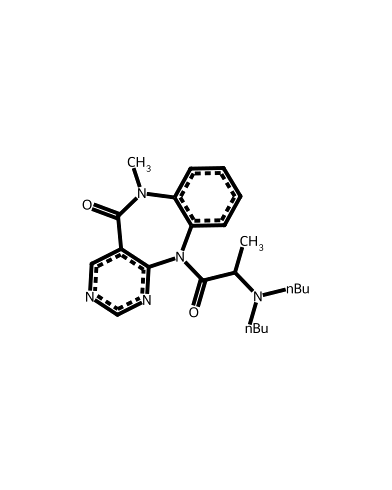 CCCCN(CCCC)C(C)C(=O)N1c2ccccc2N(C)C(=O)c2cncnc21